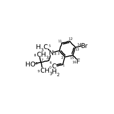 C=Cc1c(N(C)CC(C)(C)O)ccc(Br)c1F